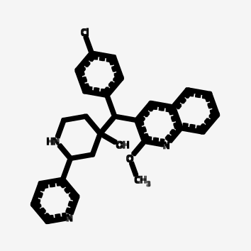 COc1nc2ccccc2cc1C(c1ccc(Cl)cc1)C1(O)CCNC(c2cccnc2)C1